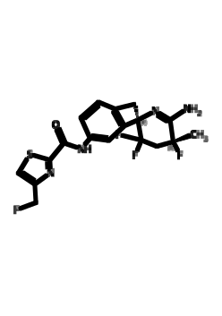 C[C@@]1(F)CC(F)(F)[C@]2(Cc3ccc(NC(=O)c4nc(CF)cs4)cc32)N=C1N